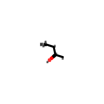 CC(=O)[CH][SiH3]